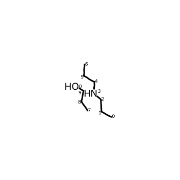 CCCNCCC.CCCO